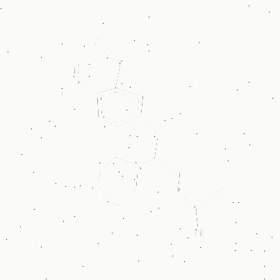 CC(=O)c1cc(OC(CCC(N)=O)N2CCOCC2)ccc1[N+](=O)[O-]